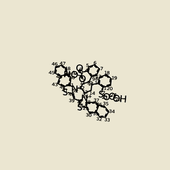 O=S(=O)(O)c1ccccc1CCC1C(CCc2ccccc2SOOO)[n+]2c(sc3cc4ccccc4cc32)C=C2Sc3cc4ccccc4cc3N21